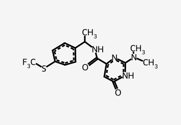 CC(NC(=O)c1cc(=O)[nH]c(N(C)C)n1)c1ccc(SC(F)(F)F)cc1